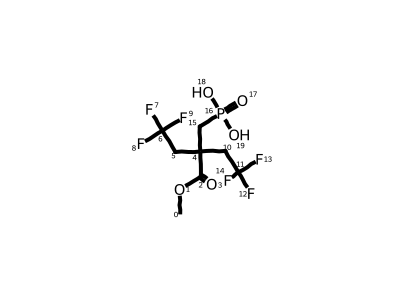 COC(=O)C(CC(F)(F)F)(CC(F)(F)F)CP(=O)(O)O